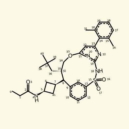 CCC(=O)N[C@H]1C[C@@H](C2c3cccc(c3)S(=O)(=O)Nc3nc(cc(-c4c(C)cccc4C)n3)OC[C@H]2CC(C)(C)C)C1